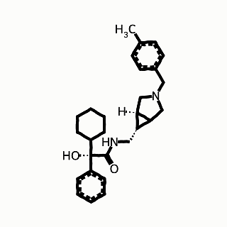 Cc1ccc(CN2CC3[C@H](CNC(=O)[C@@](O)(c4ccccc4)C4CCCCC4)[C@H]3C2)cc1